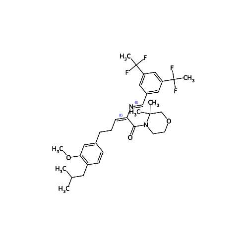 COc1cc(CC/C=C(/N=C/c2cc(C(C)(F)F)cc(C(C)(F)F)c2)C(=O)N2CCOCC2(C)C)ccc1CC(C)C